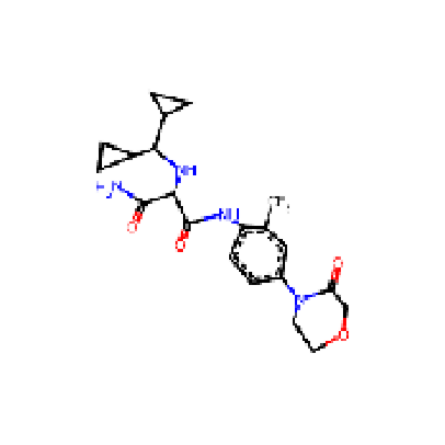 NC(=O)[C@@H](NC(C1CC1)C1CC1)C(=O)Nc1ccc(N2CCOCC2=O)cc1C(F)(F)F